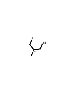 C[C@H](CO)CF